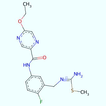 CCOc1cnc(C(=O)Nc2ccc(F)c(C/N=C(/N)SC)c2)cn1